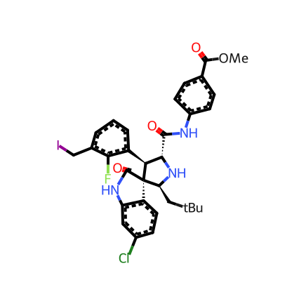 COC(=O)c1ccc(NC(=O)[C@@H]2N[C@@H](CC(C)(C)C)[C@@]3(C(=O)Nc4cc(Cl)ccc43)[C@H]2c2cccc(CI)c2F)cc1